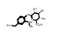 COCc1ccc(O[C@@H]2O[C@H](C(=O)O)[C@@H](O)[C@H](O)[C@H]2O)c(NC(C)(C)C)c1